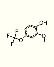 COc1cc(OC(F)(F)F)ccc1O